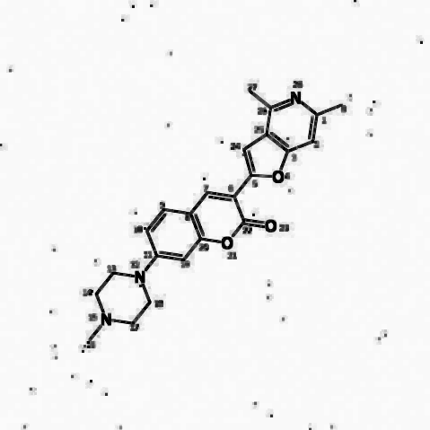 Cc1cc2oc(-c3cc4ccc(N5CCN(C)CC5)cc4oc3=O)cc2c(C)n1